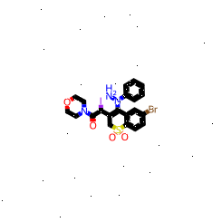 NN(C1=C(C(I)C(=O)N2CCOCC2)CS(=O)(=O)c2ccc(Br)cc21)c1ccccc1